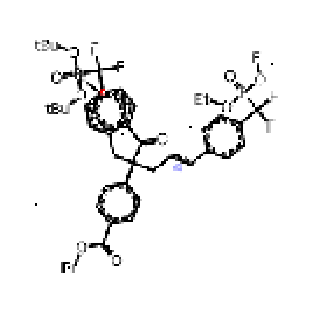 CCOP(=O)(OCC)C(F)(F)c1ccc(/C=C/CC(Cc2ccc(C(F)(F)P(=O)(OC(C)(C)C)OC(C)(C)C)cc2)(C(=O)c2ccc(F)cc2)c2ccc(C(=O)OC(C)C)cc2)cc1